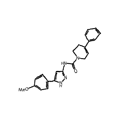 COc1ccc(-c2cc(NC(=O)N3CC=C(c4ccccc4)CC3)n[nH]2)cc1